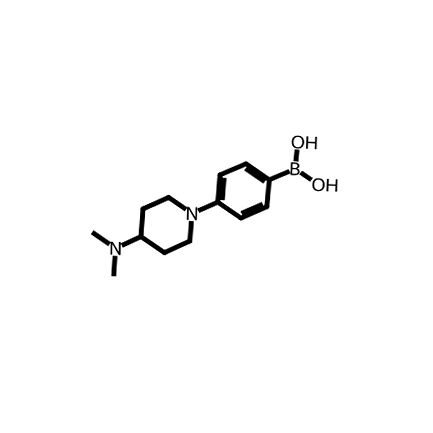 CN(C)C1CCN(c2ccc(B(O)O)cc2)CC1